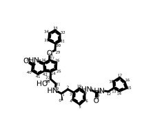 C[C@H](Cc1cccc(NC(=O)NCc2ccccc2)c1)NC[C@H](O)c1ccc(OCc2ccccc2)c2[nH]c(=O)ccc12